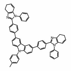 Cc1ccc(-n2c3ccc(-c4ccc(-c5nc6c(n5-c5ccccc5)C=CCC6)cc4)cc3c3cc(-c4ccc(-c5nc6c(n5-c5ccccc5)C=CCC6)cc4)ccc32)cc1